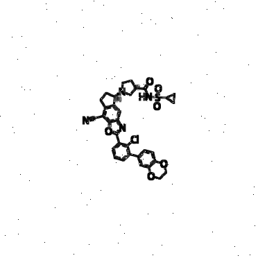 N#Cc1c2c(cc3nc(-c4cccc(-c5ccc6c(c5)OCCO6)c4Cl)oc13)[C@H](N1CC[C@@H](C(=O)NS(=O)(=O)C3CC3)C1)CC2